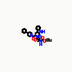 Cc1[nH]c2ccccc2c1C[C@@H](NC(=O)C(C)(C)NC(=O)OC(C)(C)C)C(=O)N1CCC(c2ccccc2)CC1